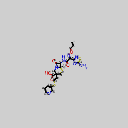 C=CCON=C(C(=O)NC1C(=O)N2CC(C=CSc3cccnc3)(C(=O)O)CS[C@H]12)c1nsc(N)n1